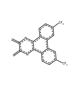 C=c1nc2c3ccc(C(F)(F)F)cc3c3cc(C(F)(F)F)ccc3c2nc1=C